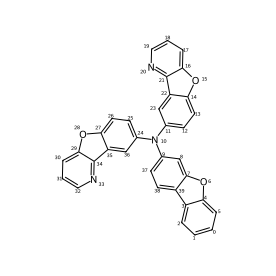 c1ccc2c(c1)oc1cc(N(c3ccc4oc5cccnc5c4c3)c3ccc4oc5cccnc5c4c3)ccc12